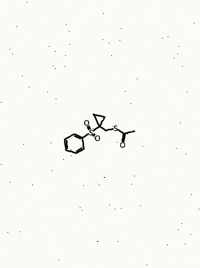 CC(=O)SCC1(S(=O)(=O)c2ccccc2)CC1